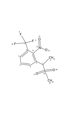 CC(c1cccc(C(F)(F)F)c1[N+](=O)[O-])S(C)(=O)=O